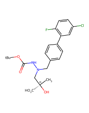 CC(C)(C)OC(=O)NN(Cc1ccc(-c2cc(Cl)ccc2F)cc1)C[C@@](C)(O)C(=O)O